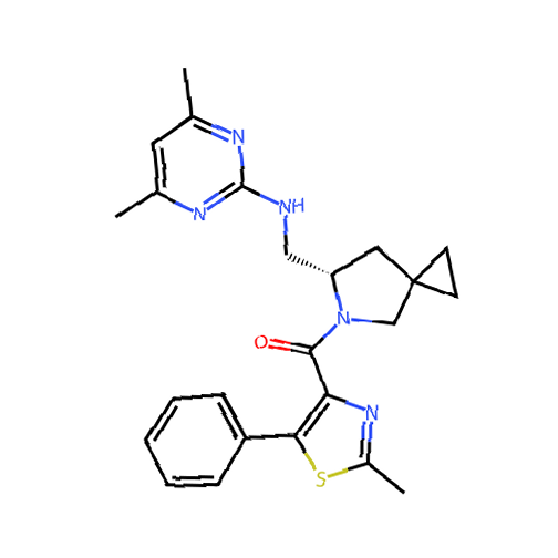 Cc1cc(C)nc(NC[C@@H]2CC3(CC3)CN2C(=O)c2nc(C)sc2-c2ccccc2)n1